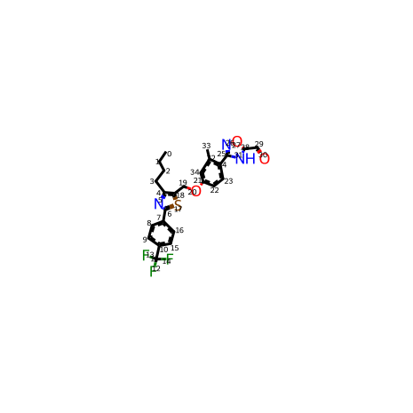 CCCCc1nc(-c2ccc(C(F)(F)F)cc2)sc1COc1ccc(C2=NOC(C=O)N2)c(C)c1